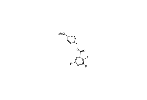 COc1ccc(COC(=O)c2cc(F)nc(F)c2F)cc1